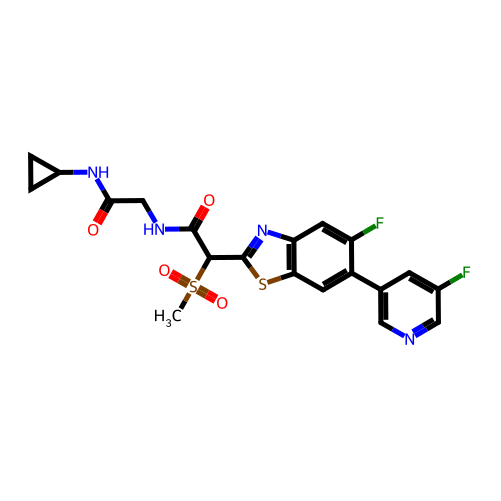 CS(=O)(=O)C(C(=O)NCC(=O)NC1CC1)c1nc2cc(F)c(-c3cncc(F)c3)cc2s1